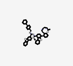 C=N/C(=N\C(=N/Cc1ccc(-c2ccccc2)cc1)c1ccc2c(c1)oc1ccccc12)c1ccc(-c2cccc3c2C/C=C\C=C/C(=C)O3)c2oc3ccccc3c12